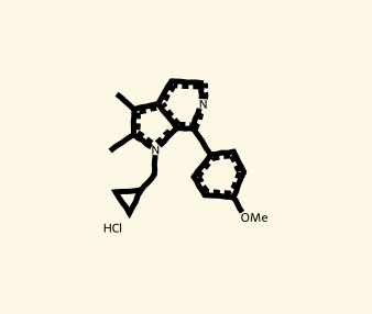 COc1ccc(-c2nccc3c(C)c(C)n(CC4CC4)c23)cc1.Cl